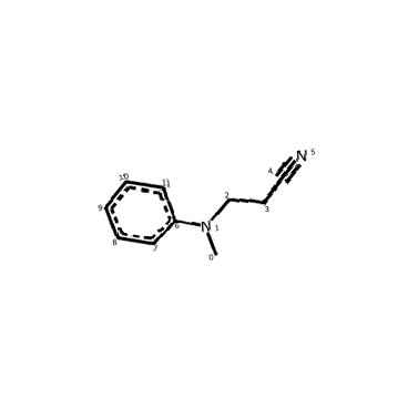 CN(CCC#N)c1ccccc1